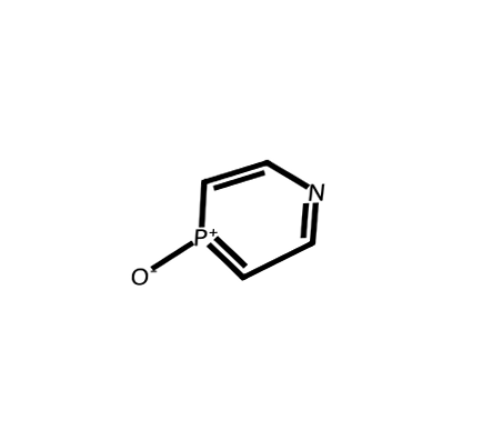 [O-][p+]1ccncc1